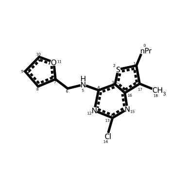 CCCc1sc2c(NCc3ccco3)nc(Cl)nc2c1C